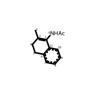 CC(=O)NC1=C(C)CCc2ccccc21